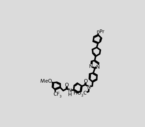 CCCc1ccc(C2CC=C(c3cnc(-c4ccc(CN(CC(=O)O)C(=O)c5ccc(NC(=O)Cc6ccc(OC)cc6C(F)(F)F)cc5)cc4)nc3)CC2)cc1